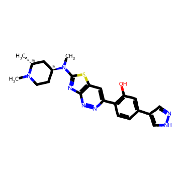 C[C@@H]1C[C@@H](N(C)c2nc3nnc(-c4ccc(-c5cn[nH]c5)cc4O)cc3s2)CCN1C